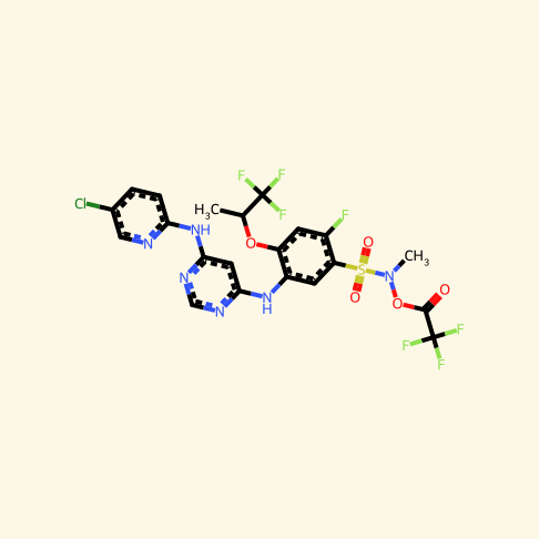 CC(Oc1cc(F)c(S(=O)(=O)N(C)OC(=O)C(F)(F)F)cc1Nc1cc(Nc2ccc(Cl)cn2)ncn1)C(F)(F)F